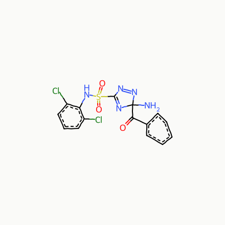 NC1(C(=O)c2ccccc2)N=NC(S(=O)(=O)Nc2c(Cl)cccc2Cl)=N1